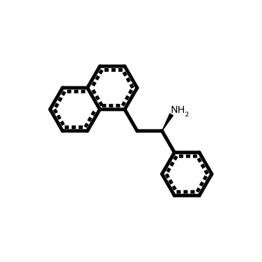 N[C@H](Cc1cccc2ccccc12)c1ccccc1